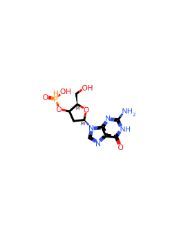 Nc1nc2c(ncn2[C@H]2CC(O[PH](=O)O)[C@@H](CO)O2)c(=O)[nH]1